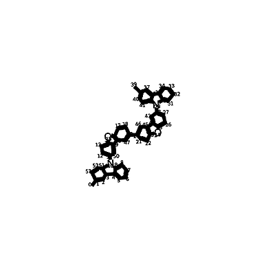 CC1=CC2c3ccccc3N(c3ccc4oc5ccc(-c6ccc7oc8ccc(-n9c%10ccccc%10c%10cc(C)ccc%109)cc8c7c6)cc5c4c3)C2C=C1